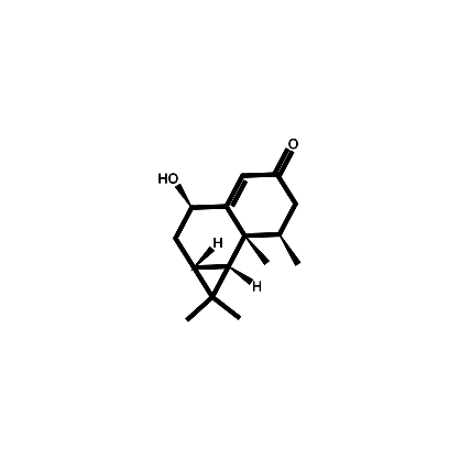 C[C@@H]1CC(=O)C=C2[C@H](O)C[C@@H]3[C@@H](C3(C)C)[C@]21C